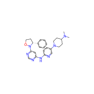 CN(C)C1CCN(c2ccc(Nc3cc(N4OCC[C@@H]4c4ccccc4)ncn3)nc2)CC1